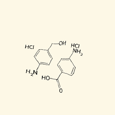 Cl.Cl.Nc1ccc(C(=O)O)cc1.Nc1ccc(CO)cc1